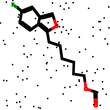 O=[C]OCCCCCCc1occ2cc(F)ccc12